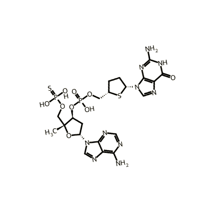 C[C@]1(COP(O)(O)=S)O[C@@H](n2cnc3c(N)ncnc32)C[C@@H]1OP(=O)(O)OC[C@@H]1CC[C@H](n2cnc3c(=O)[nH]c(N)nc32)S1